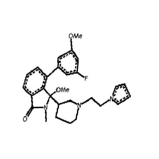 COc1cc(F)cc(-c2cccc3c2C(OC)(C2CCCN(CCn4cccc4)C2)N(C)C3=O)c1